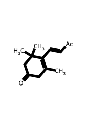 CC(=O)/C=C/C1=C(C)CC(=O)CC1(C)C